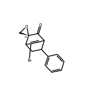 O=C1C2C=C(Br)C(CC2c2ccccc2)[C@@]12CO2